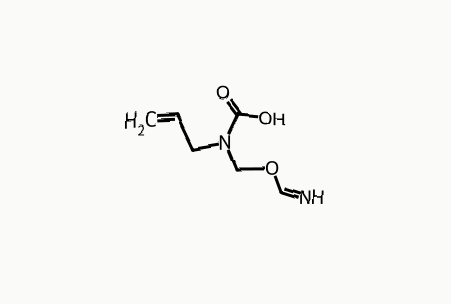 C=CCN(COC=N)C(=O)O